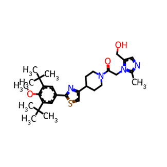 COc1c(C(C)(C)C)cc(-c2nc(C3CCN(C(=O)Cn4c(CO)cnc4C)CC3)cs2)cc1C(C)(C)C